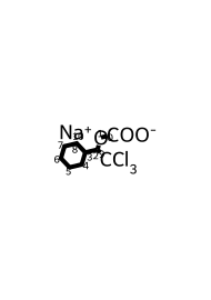 O=C([O-])OC(C1CCCCC1)C(Cl)(Cl)Cl.[Na+]